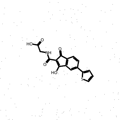 O=C(O)CNC(=O)C1=C(O)c2cc(-c3cccs3)ccc2C1=O